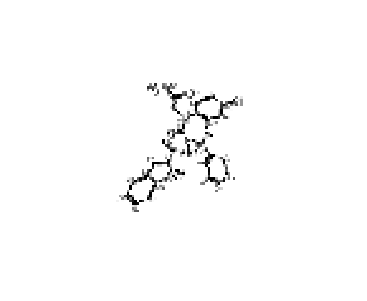 NC(=O)CN1C(=O)C(NC(=O)c2cc3ccccc3[nH]2)C(c2ccccc2)Sc2cc(Cl)ccc21